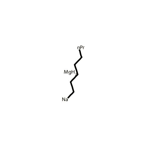 CCCCCCC[CH2][Na].[MgH2]